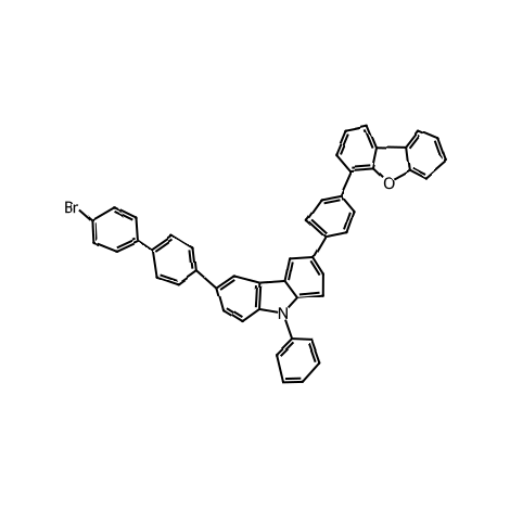 Brc1ccc(-c2ccc(-c3ccc4c(c3)c3cc(-c5ccc(-c6cccc7c6oc6ccccc67)cc5)ccc3n4-c3ccccc3)cc2)cc1